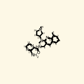 Cc1cccc2cc(CNC(=O)c3nccnc3N)c(N(C)C3CCN(C)C3)nc12